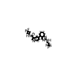 O=C(NC1CC(F)(F)C1)c1cnn2ccc(C3=CCCCc4nc(NCCC(F)(F)F)ncc43)cc12